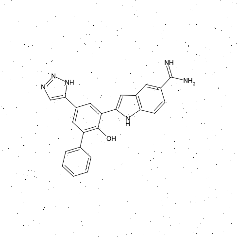 N=C(N)c1ccc2[nH]c(-c3cc(-c4cnn[nH]4)cc(-c4ccccc4)c3O)cc2c1